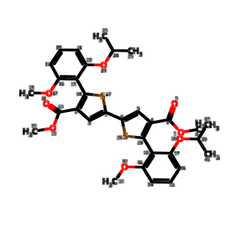 COC(=O)c1cc(-c2cc(C(=O)OC)c(-c3c(OC)cccc3OC(C)C)s2)sc1-c1c(OC)cccc1OC(C)C